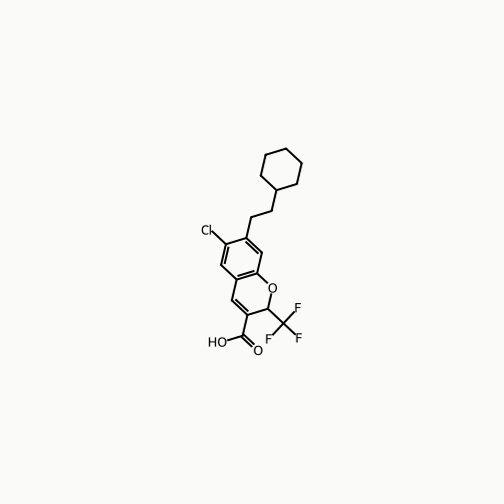 O=C(O)C1=Cc2cc(Cl)c(CCC3CCCCC3)cc2OC1C(F)(F)F